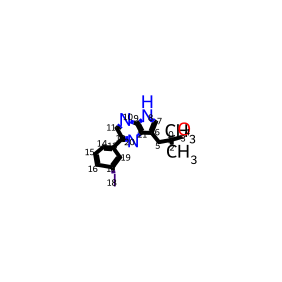 CC(C)(C=O)Cc1c[nH]c2ncc(-c3cccc(I)c3)nc12